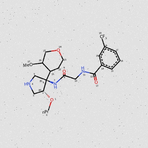 CCCO[C@@H]1CNC[C@]1(NC(=O)CNC(=O)c1cccc(C(F)(F)F)c1)C1CCOCC1OC